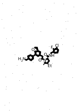 CC[C@@H]1C[C@@H](C(=O)NCc2cccc(Cl)c2F)N(C(=O)Cc2cc(-c3ccc(CN)cc3)c3occc3c2)[C@@H]1C